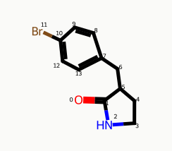 O=C1NCCC1Cc1ccc(Br)cc1